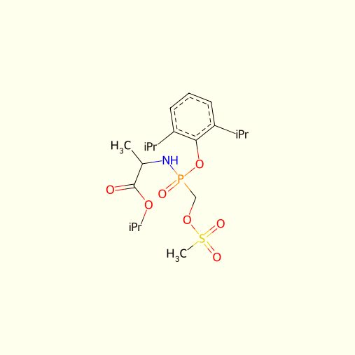 CC(C)OC(=O)C(C)NP(=O)(COS(C)(=O)=O)Oc1c(C(C)C)cccc1C(C)C